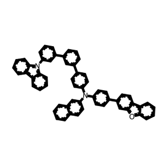 c1cc(-c2ccc(N(c3ccc(-c4ccc5c(c4)oc4ccccc45)cc3)c3ccc4ccccc4c3)cc2)cc(-c2cccc(-n3c4ccccc4c4ccccc43)c2)c1